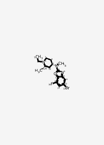 CCN1CC[C@H](N(C)c2nc3cc(Br)cc(F)c3o2)C[C@@H]1C